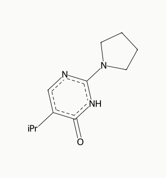 CC(C)c1cnc(N2CCCC2)[nH]c1=O